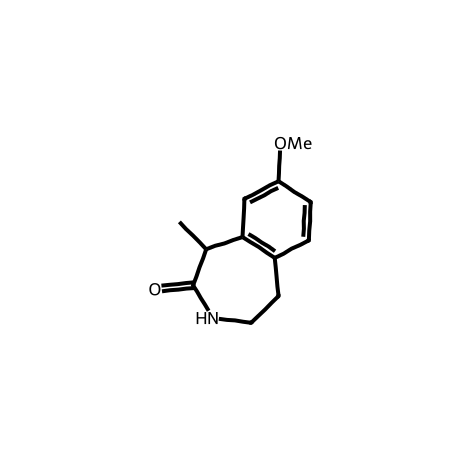 COc1ccc2c(c1)C(C)C(=O)NCC2